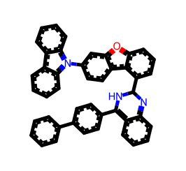 c1ccc(-c2ccc(C3=c4ccccc4=NC(c4cccc5oc6cc(-n7c8ccccc8c8ccccc87)ccc6c45)N3)cc2)cc1